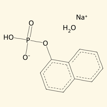 O.O=P([O-])(O)Oc1cccc2ccccc12.[Na+]